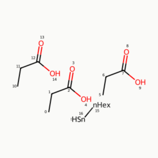 CCC(=O)O.CCC(=O)O.CCC(=O)O.CCCCC[CH2][SnH]